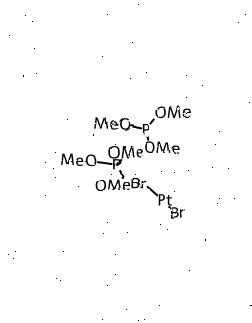 COP(OC)OC.COP(OC)OC.[Br][Pt][Br]